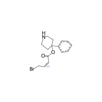 O=C(/C=C\CBr)OC1(c2ccccc2)CCNCC1